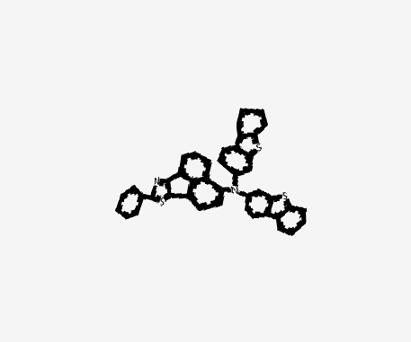 c1ccc(-c2nc3c(s2)-c2ccc(N(c4ccc5c(c4)sc4ccccc45)c4ccc5c(c4)sc4ccccc45)c4cccc-3c24)cc1